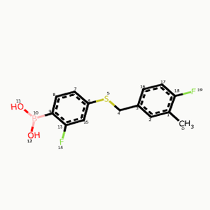 Cc1cc(CSc2ccc(B(O)O)c(F)c2)ccc1F